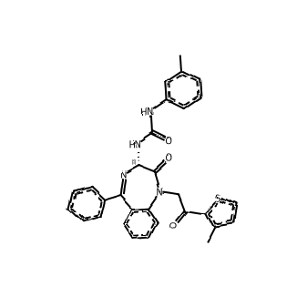 Cc1cccc(NC(=O)N[C@H]2N=C(c3ccccc3)c3ccccc3N(CC(=O)c3sccc3C)C2=O)c1